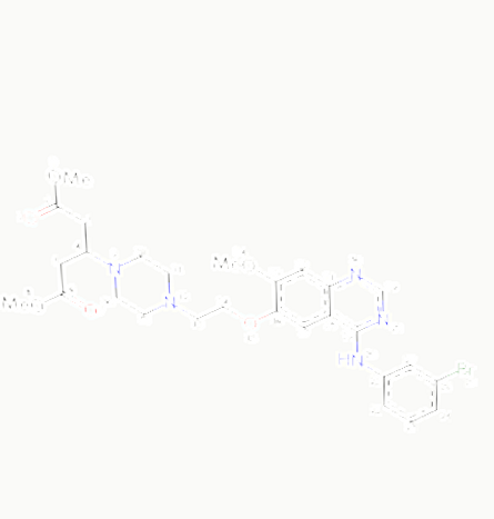 COC(=O)CC(CC(=O)OC)N1CCN(CCOc2cc3c(Nc4cccc(Br)c4)ncnc3cc2OC)CC1